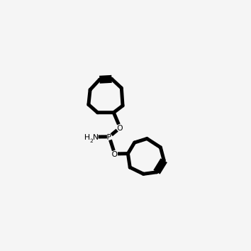 NP(OC1CCC#CCCC1)OC1CCC#CCCC1